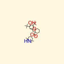 CC1(C)CC(OC(=O)C2(Cc3cc(C(C)(C)C)c(O)c(C(C)(C)C)c3)CCCCC2=O)CC(C)(C)N1